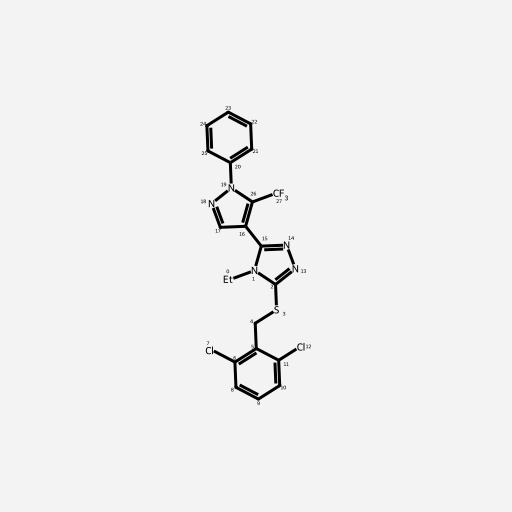 CCn1c(SCc2c(Cl)cccc2Cl)nnc1-c1cnn(-c2ccccc2)c1C(F)(F)F